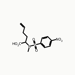 C=CCCC(C(=O)O)N(C)S(=O)(=O)c1ccc([N+](=O)[O-])cc1